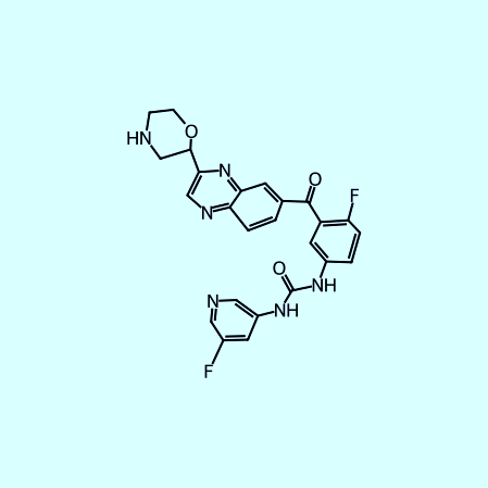 O=C(Nc1cncc(F)c1)Nc1ccc(F)c(C(=O)c2ccc3ncc(C4CNCCO4)nc3c2)c1